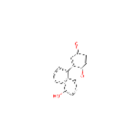 O=C1C=CC(=O)C(c2cccc3c(O)cccc23)=C1